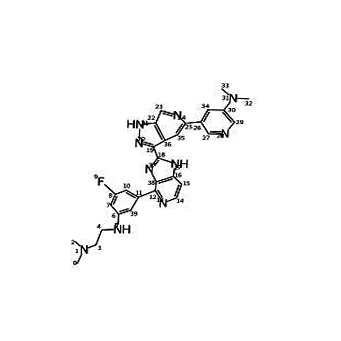 CN(C)CCNc1cc(F)cc(-c2nccc3[nH]c(-c4n[nH]c5cnc(-c6cncc(N(C)C)c6)cc45)nc23)c1